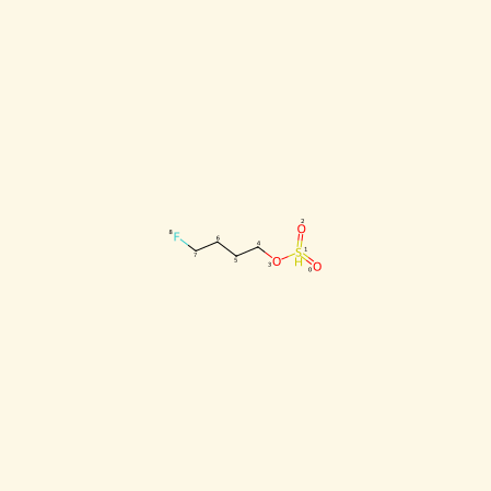 O=[SH](=O)OCCCCF